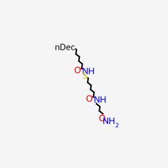 CCCCCCCCCCCCCCCC(=O)NSCCCCCC(=O)NCCCCON